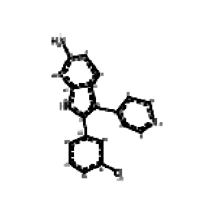 Nc1ccc2c(-c3ccncc3)c(-c3cccc(Cl)c3)[nH]c2n1